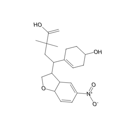 C=C(O)C(C)(C)CC(C1=CCC(O)CC1)C1COC2C=CC([N+](=O)[O-])=CC21